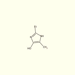 CCc1nc(O)c(C)[nH]1